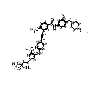 Cc1ccc(C(=O)Nc2ccc(CN3CCN(C)CC3)c(F)c2)cc1C#Cc1cnc(Nc2cn(CCC(C)(C)O)nc2C)nc1